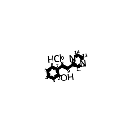 Cl.Oc1ccccc1C=Cc1cnccn1